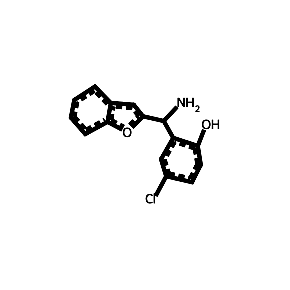 NC(c1cc2ccccc2o1)c1cc(Cl)ccc1O